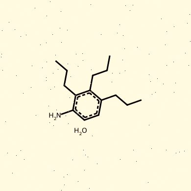 CCCc1ccc(N)c(CCC)c1CCC.O